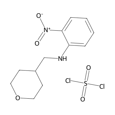 O=S(=O)(Cl)Cl.O=[N+]([O-])c1ccccc1NCC1CCOCC1